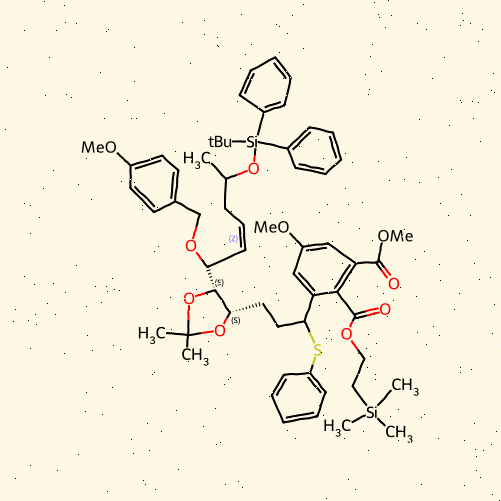 COC(=O)c1cc(OC)cc(C(CC[C@@H]2OC(C)(C)O[C@@H]2C(/C=C\CC(C)O[Si](c2ccccc2)(c2ccccc2)C(C)(C)C)OCc2ccc(OC)cc2)Sc2ccccc2)c1C(=O)OCC[Si](C)(C)C